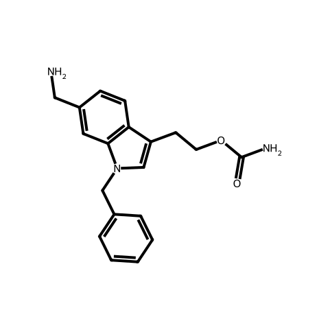 NCc1ccc2c(CCOC(N)=O)cn(Cc3ccccc3)c2c1